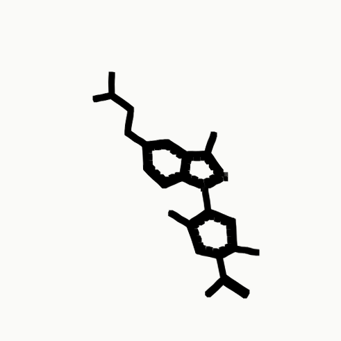 C=C(C)c1cc(C)c(-n2nc(C)c3cc(CCC(C)C)ccc32)cc1C